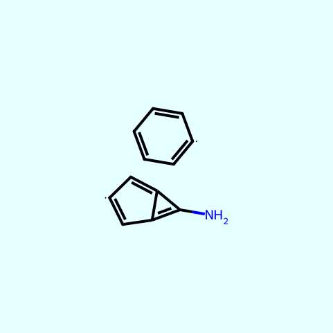 Nc1c2c[c]cc1-2.[c]1ccccc1